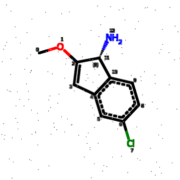 COC1=Cc2cc(Cl)ccc2[C@H]1N